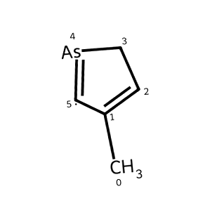 CC1=CC[As]=[C]1